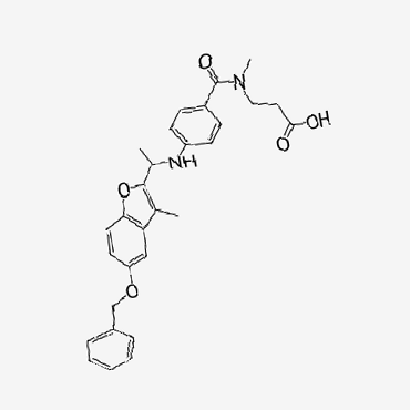 Cc1c(C(C)Nc2ccc(C(=O)N(C)CCC(=O)O)cc2)oc2ccc(OCc3ccccc3)cc12